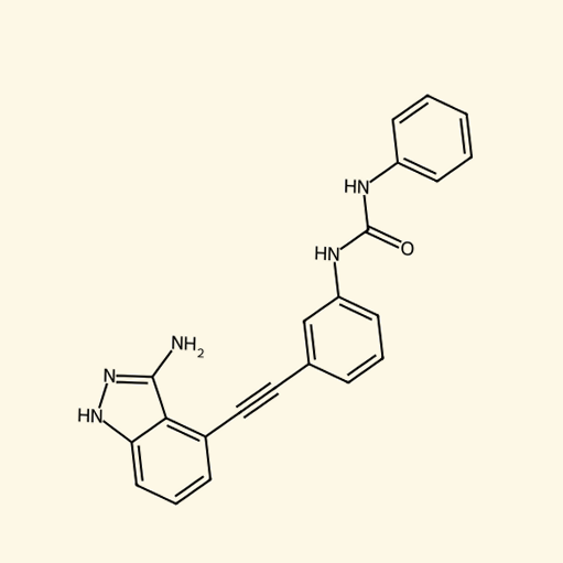 Nc1n[nH]c2cccc(C#Cc3cccc(NC(=O)Nc4ccccc4)c3)c12